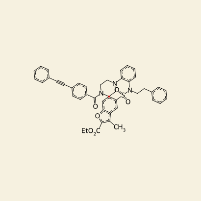 CCOC(=O)c1oc2ccc(S(=O)(=O)N(CCc3ccccc3)c3ccccc3N3CCN(C(=O)c4ccc(C#Cc5ccccc5)cc4)CC3)cc2c1C